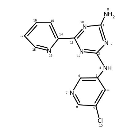 Nc1nc(Nc2cncc(Cl)c2)nc(-c2ccccn2)n1